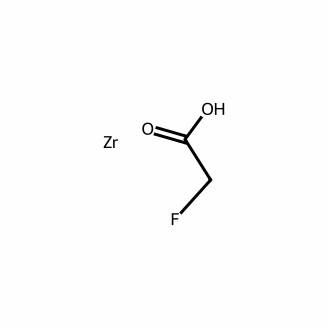 O=C(O)CF.[Zr]